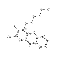 Cc1c(N)cc2nc3ccccc3cc2c1CCCCCO